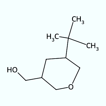 CC(C)(C)C1COCC(CO)C1